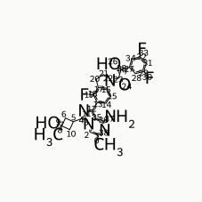 Cc1cn2c(C3CC(C)(O)C3)nc(-c3ccc4c(c3F)CCN4C(=O)[C@H](O)c3cc(F)cc(F)c3)c2c(N)n1